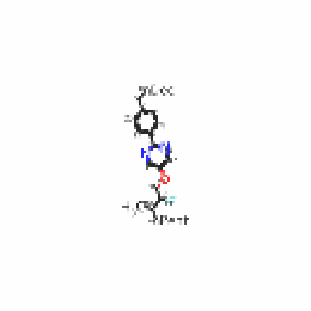 CCCCCCCCCCCc1ccc(-c2ncc(OCC(F)C(C)CCCCC)cn2)cc1